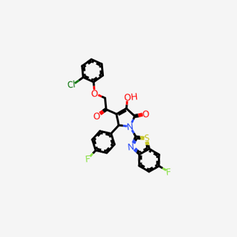 O=C(COc1ccccc1Cl)C1=C(O)C(=O)N(c2nc3ccc(F)cc3s2)C1c1ccc(F)cc1